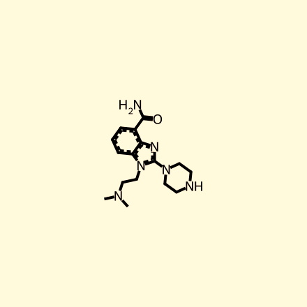 CN(C)CCn1c(N2CCNCC2)nc2c(C(N)=O)cccc21